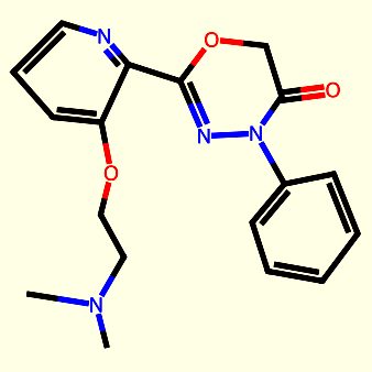 CN(C)CCOc1cccnc1C1=NN(c2ccccc2)C(=O)CO1